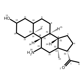 CC(=O)[C@H]1CC[C@H]2[C@@H]3CCC4CC(O)CC[C@]4(C)[C@H]3C(N)C[C@]12C